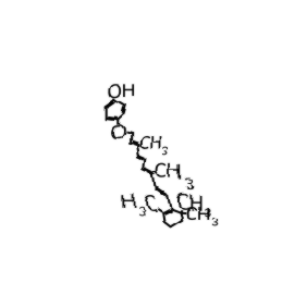 CC1=C(/C=C/C(C)=C/C=C/C(C)=C/COc2ccc(O)cc2)C(C)(C)CCC1